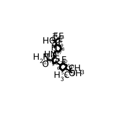 CC(C)(O)c1ccc(-c2cc(C(N)=O)c(Nc3cccc(C(O)C(F)(F)F)n3)s2)c(F)c1